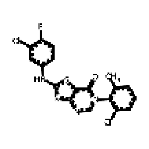 Cc1cccc(Cl)c1-n1cnc2nc(Nc3ccc(F)c(Cl)c3)sc2c1=O